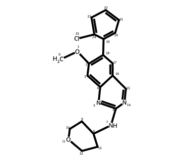 COc1cc2nc(NC3CCOCC3)ncc2cc1-c1ccccc1Cl